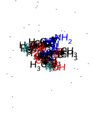 Cc1nc(N2CC(N)C2)c(C#N)cc1C(=O)OCC(C)(C)C.Cc1nc(N2CC(NC(=O)OC(C)(C)C)C2)c(C#N)c(CC(C)(C)C)c1C(=O)O.O=C(O)C(F)(F)F.O=C(O)C(F)(F)F